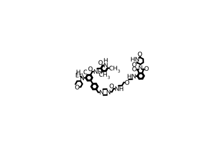 CCN(c1cc(-c2ccc(CN3CCN(CC(=O)NCCCOCCNc4cccc5c4C(=O)N(C4CCC(=O)NC4=O)C5=O)CC3)cc2)cc(C(=O)NCc2c(C)cc(C)[nH]c2=O)c1C)C1CCOCC1